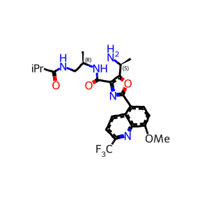 COc1ccc(-c2nc(C(=O)N[C@H](C)CNC(=O)C(C)C)c([C@H](C)N)o2)c2ccc(C(F)(F)F)nc12